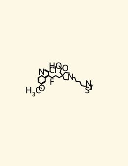 COc1ccc2ncc(Cl)c([C@H](F)CCC3(CC(=O)O)CCN(CCCCc4nccs4)CC3)c2c1